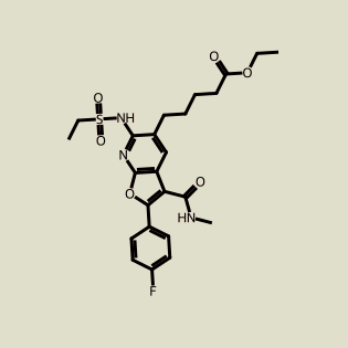 CCOC(=O)CCCCc1cc2c(C(=O)NC)c(-c3ccc(F)cc3)oc2nc1NS(=O)(=O)CC